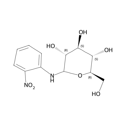 O=[N+]([O-])c1ccccc1NC1O[C@H](CO)[C@@H](O)[C@H](O)[C@H]1O